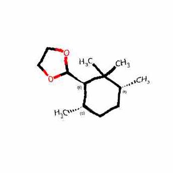 C[C@@H]1CC[C@H](C)[C@@H](C2OCCO2)C1(C)C